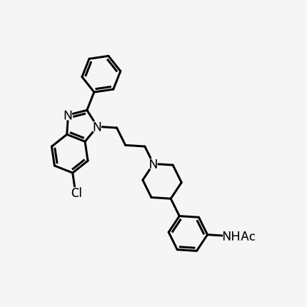 CC(=O)Nc1cccc(C2CCN(CCCn3c(-c4ccccc4)nc4ccc(Cl)cc43)CC2)c1